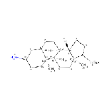 CCCCCCC1CC[C@H]2[C@@H]3CCC4CC(N)CC[C@]4(C)[C@@H]3CC[C@]12C